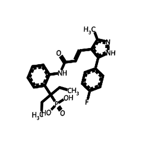 CCC(CC)(c1ccccc1NC(=O)C=Cc1c(C)n[nH]c1-c1ccc(F)cc1)P(=O)(O)O